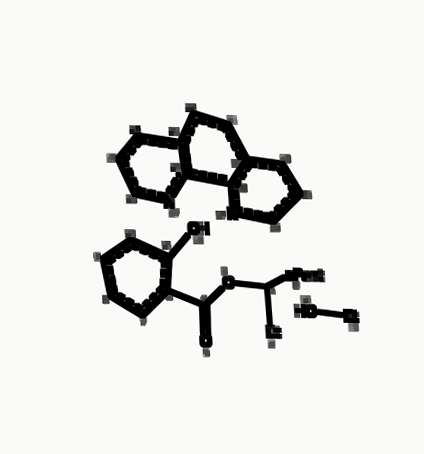 CCCCCC(CC)OC(=O)c1ccccc1O.CCO.c1cnc2c(c1)ccc1cccnc12